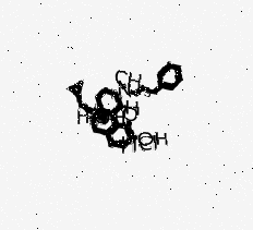 CN(CCCc1ccccc1)[C@@H]1CC[C@@]2(O)[C@H]3Cc4ccc(O)c5c4[C@@]2(CCN3CC2CC2)[C@H]1O5.Cl